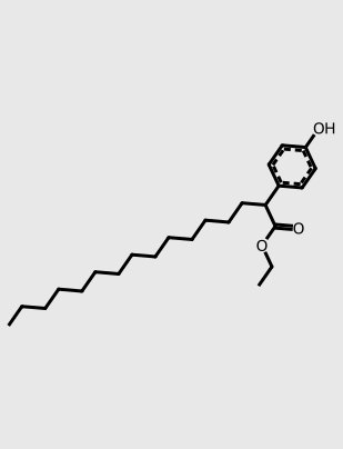 CCCCCCCCCCCCCCC(C(=O)OCC)c1ccc(O)cc1